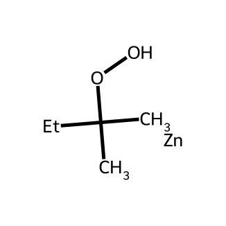 CCC(C)(C)OO.[Zn]